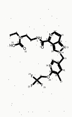 CCN(CCNC(=O)c1nccc2nn(Cc3cnc(OCC(F)(F)F)c(C)c3)cc12)C(=O)O